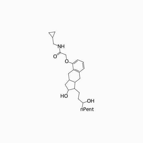 CCCCCC(O)CCC1C(O)CC2Cc3c(cccc3OCC(=O)NCC3CC3)CC21